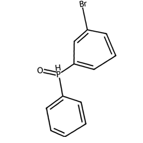 O=[PH](c1ccccc1)c1cccc(Br)c1